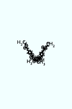 C=CCOC(=O)CCc1ccc(OC(=O)NCC(C)(C)CC(C)(C)NC(=O)Oc2ccc(CCC(=O)OCC=C)cc2)cc1